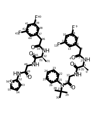 C[C@H](NC(=O)Cc1cc(F)cc(F)c1)C(=O)NCC(=O)N(c1ccccc1)C(C)(C)C.C[C@H](NC(=O)Cc1cc(F)cc(F)c1)C(=O)NCC(=O)Nc1cccs1